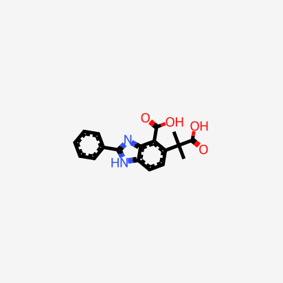 CC(C)(C(=O)O)c1ccc2[nH]c(-c3ccccc3)nc2c1C(=O)O